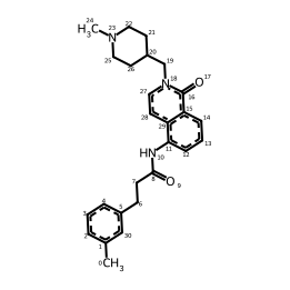 Cc1cccc(CCC(=O)Nc2cccc3c(=O)n(CC4CCN(C)CC4)ccc23)c1